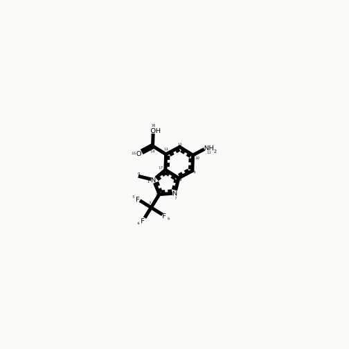 Cn1c(C(F)(F)F)nc2cc(N)cc(C(=O)O)c21